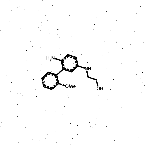 COc1ccccc1-c1cc(NCCO)ccc1N